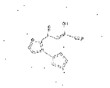 O=C(O)C(O)=CC(=O)c1occc1-c1ccsc1